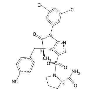 C[C@@]1(Cc2ccc(C#N)cc2)C(=O)N(c2cc(Cl)cc(Cl)c2)c2ncc(S(=O)(=O)N3CCC[C@H]3C(N)=O)n21